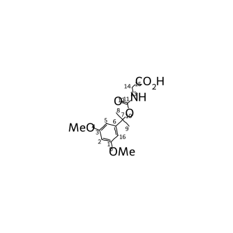 COc1cc(OC)cc(C(C)(C)OC(=O)NCC(=O)O)c1